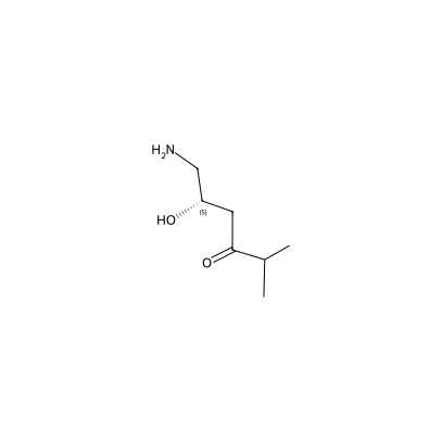 CC(C)C(=O)C[C@H](O)CN